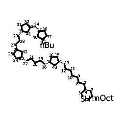 CCCCCCCC[C@H](C)C[C@@H](CS)CCCCCCC[C@H]1CC[C@@H](CCCCC[C@@H]2CC[C@@H](CCC[C@@H]3CC[C@@H](C[C@@H]4CC[C@@H](CCCC)C4)C3)C2)C1